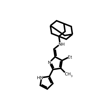 CCC1=C(C)C(c2ccc[nH]2)=N/C1=C/NC12CC3CC(CC(C3)C1)C2